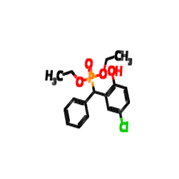 CCOP(=O)(OCC)C(c1ccccc1)c1cc(Cl)ccc1O